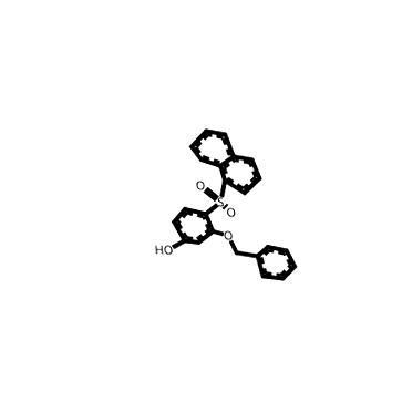 O=S(=O)(c1ccc(O)cc1OCc1ccccc1)c1cccc2ccccc12